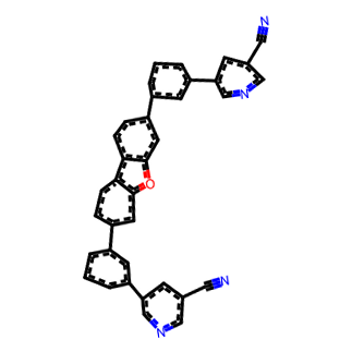 N#Cc1cncc(-c2cccc(-c3ccc4c(c3)oc3cc(-c5cccc(-c6cncc(C#N)c6)c5)ccc34)c2)c1